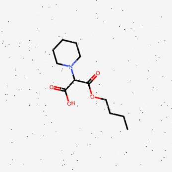 CCCCOC(=O)C(C(=O)O)N1CCCCC1